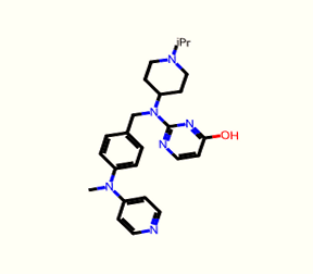 CC(C)N1CCC(N(Cc2ccc(N(C)c3ccncc3)cc2)c2nccc(O)n2)CC1